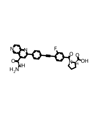 NNC(=O)c1cc(-c2ccc(C#Cc3ccc(C(=O)N4CCC[C@@H]4C(=O)O)cc3F)cc2)nc2ccncc12